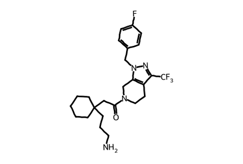 NCCCC1(CC(=O)N2CCc3c(C(F)(F)F)nn(Cc4ccc(F)cc4)c3C2)CCCCC1